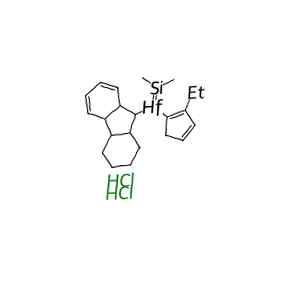 CCC1=[C]([Hf]([CH]2C3C=CC=CC3C3CCCCC32)=[Si](C)C)CC=C1.Cl.Cl